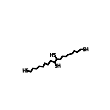 SCCCCCCCCC(S)C(S)CCCCCCCCS